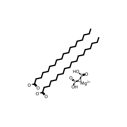 CCCCCCCCCCCCCCCCCC(=O)[O-].CCCCCCCCCCCCCCCCCC(=O)[O-].O=S(O)OS(=O)O.[Mg+2]